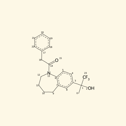 CC(O)(c1ccc2c(c1)CCCCN2C(=O)Cc1ccccc1)C(F)(F)F